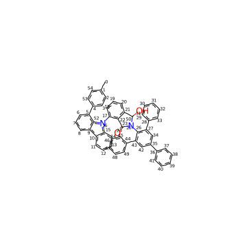 Cc1ccc(-c2cccc3c4ccccc4n(-c4cccc5c4C(=O)N(c4c(-c6ccccc6)cc(-c6ccccc6)cc4-c4ccccc4)C5O)c23)cc1